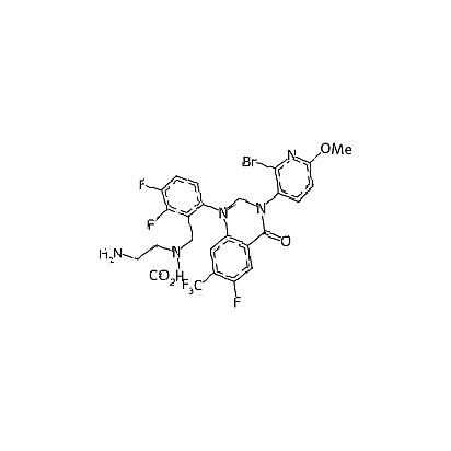 COc1ccc(N2CN(c3ccc(F)c(F)c3CN(CCN)C(=O)O)c3cc(C(F)(F)F)c(F)cc3C2=O)c(Br)n1